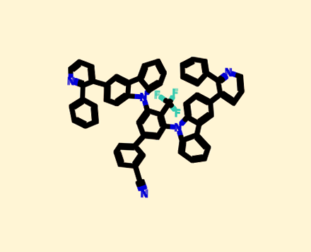 N#Cc1cccc(-c2cc(-n3c4ccccc4c4cc(-c5cccnc5-c5ccccc5)ccc43)c(C(F)(F)F)c(-n3c4ccccc4c4cc(-c5cccnc5-c5ccccc5)ccc43)c2)c1